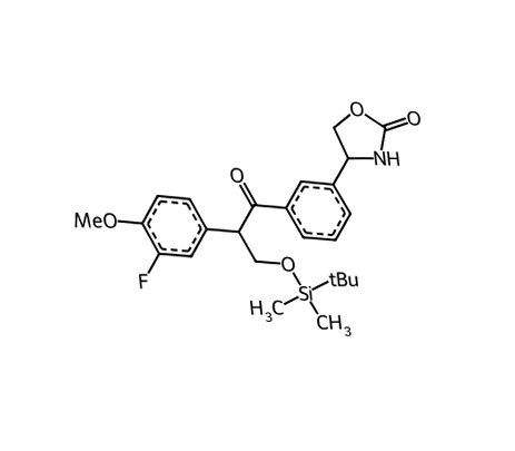 COc1ccc(C(CO[Si](C)(C)C(C)(C)C)C(=O)c2cccc(C3COC(=O)N3)c2)cc1F